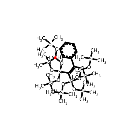 C[Si](C)(C)O[SiH2]O[Si](O[Si](C)(C)C)(O[Si](C)(C)C)C(=C(O[Si](C)(C)C)c1ccccc1)[Si](O[SiH2]O[Si](C)(C)C)(O[Si](C)(C)C)O[Si](C)(C)C